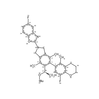 Cc1c(-c2c(C)c3c(c(C)c2[C@H](OC(C)(C)C)C(=O)O)CN(c2nc4cc(F)ccc4o2)C3)cc(F)c2c1CCCO2